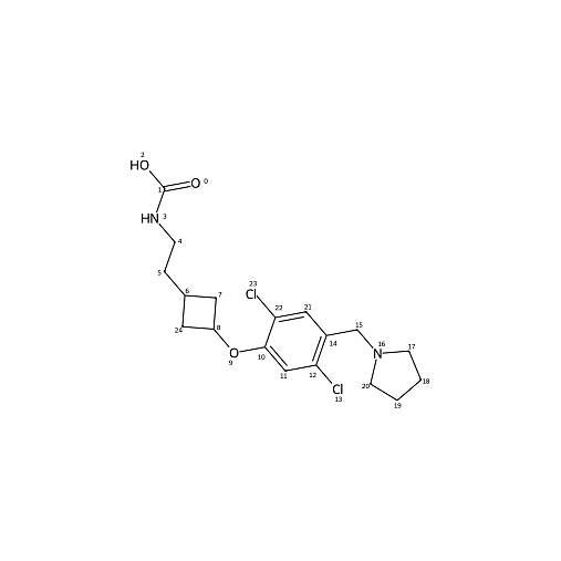 O=C(O)NCCC1CC(Oc2cc(Cl)c(CN3CCCC3)cc2Cl)C1